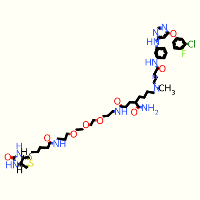 CN(C/C=C/C(=O)Nc1cccc(Nc2cc(Oc3ccc(F)c(Cl)c3)ncn2)c1)CCCCC(CCC(=O)NCCCOCCOCCOCCCNC(=O)CCCC[C@@H]1SC[C@@H]2NC(=O)N[C@@H]21)C(N)=O